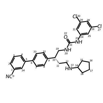 N#Cc1cccc(-c2ccc([C@@H](CCNC3CCCC3)CNC(=O)Nc3cc(Cl)cc(Cl)c3)cc2)c1